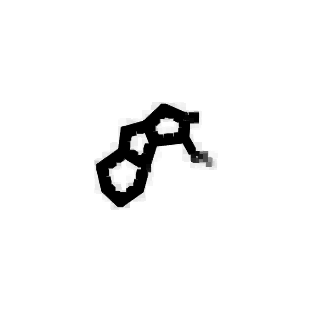 Cc1[nH]cc2cc3ccccn3c12